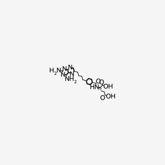 Nc1nc(N)c2nc(CCCCc3ccc(C(=O)N[C@@H](CCC(=O)O)C(=O)O)cc3)cnc2n1